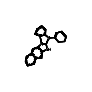 C1=CCCC(N2c3ccccc3N3c4cc5ccccc5cc4NC23)=C1